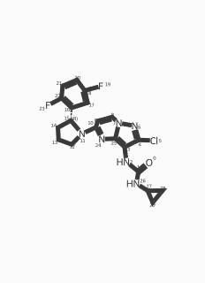 O=C(Nc1c(Cl)nn2ccc(N3CCC[C@@H]3c3cc(F)ccc3F)nc12)NC1CC1